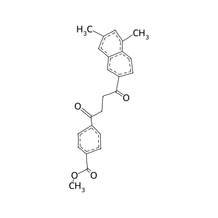 COC(=O)c1ccc(C(=O)CCC(=O)c2ccc3c(C)cc(C)cc3c2)cc1